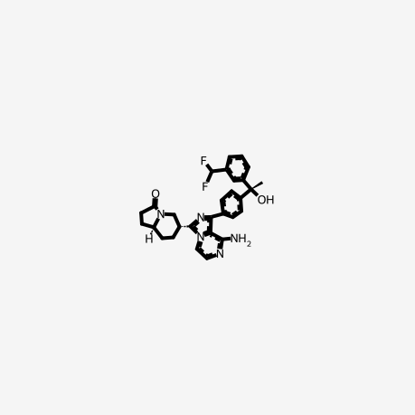 C[C@@](O)(c1ccc(-c2nc([C@@H]3CC[C@H]4CCC(=O)N4C3)n3ccnc(N)c23)cc1)c1cccc(C(F)F)c1